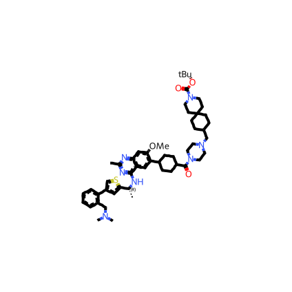 COc1cc2nc(C)nc(N[C@H](C)c3cc(-c4ccccc4CN(C)C)cs3)c2cc1C1CCC(C(=O)N2CCN(CC3CCC4(CC3)CCN(C(=O)OC(C)(C)C)CC4)CC2)CC1